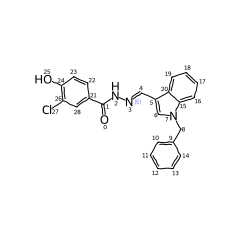 O=C(N/N=C/c1cn(Cc2ccccc2)c2ccccc12)c1ccc(O)c(Cl)c1